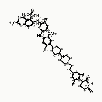 CCc1cc(Nc2ncc(Br)c(Nc3ccc4nc(C)ncc4c3P(C)(C)=O)n2)c(OC)cc1N1CCC(N2CCN(CCc3cc(F)c(C4CCC(=O)NC4=O)c(F)c3)CC2)CC1